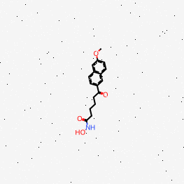 COc1ccc2cc(C(=O)CCCCC(=O)NO)ccc2c1